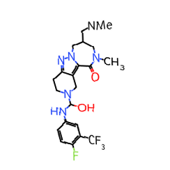 CNCC1CN(C)C(=O)c2c3c(nn2C1)CCN(C(O)Nc1ccc(F)c(C(F)(F)F)c1)C3